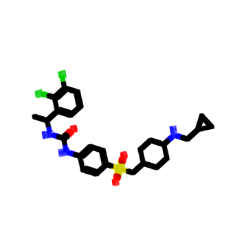 CC(NC(=O)Nc1ccc(S(=O)(=O)CC2CCC(NCC3CC3)CC2)cc1)c1cccc(Cl)c1Cl